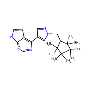 BC1(B)C(Cn2cc(-c3ncnc4[nH]ccc34)cn2)C(B)(B)C(B)(B)C1(B)B